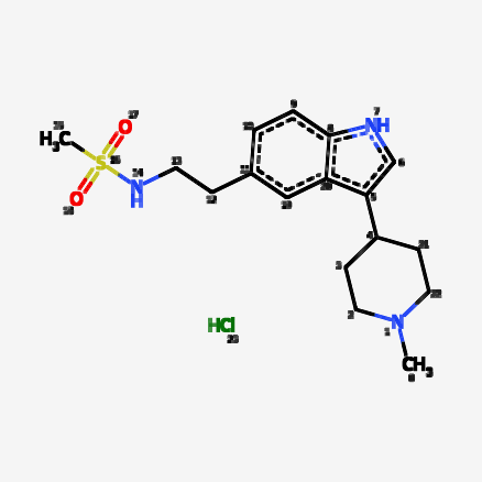 CN1CCC(c2c[nH]c3ccc(CCNS(C)(=O)=O)cc23)CC1.Cl